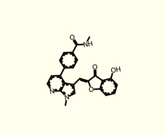 CNC(=O)c1ccc(-c2ccnc3c2c(/C=C2\Oc4cccc(O)c4C2=O)cn3C)cc1